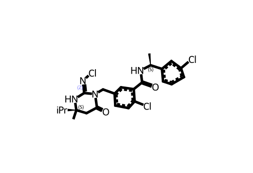 CC(C)[C@]1(C)CC(=O)N(Cc2ccc(Cl)c(C(=O)N[C@@H](C)c3cccc(Cl)c3)c2)/C(=N\Cl)N1